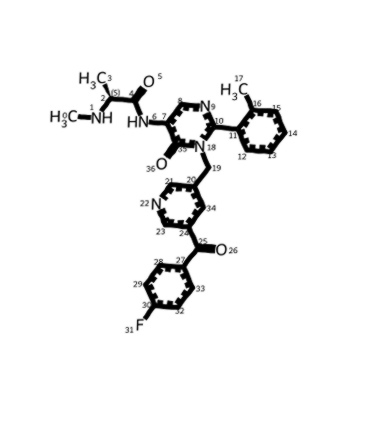 CN[C@@H](C)C(=O)Nc1cnc(-c2ccccc2C)n(Cc2cncc(C(=O)c3ccc(F)cc3)c2)c1=O